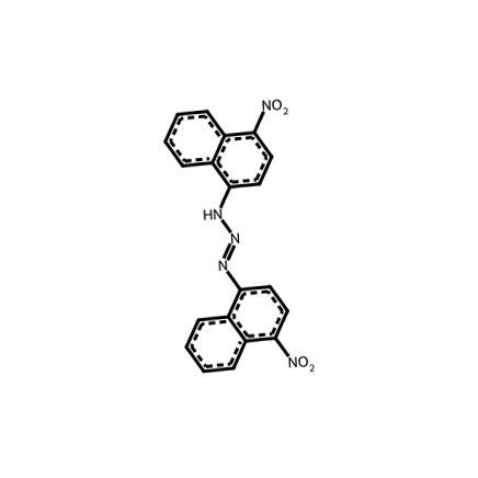 O=[N+]([O-])c1ccc(N=NNc2ccc([N+](=O)[O-])c3ccccc23)c2ccccc12